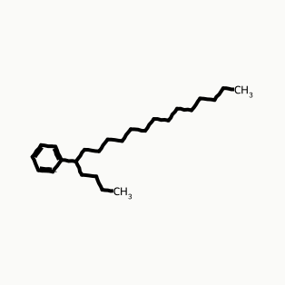 CCCCCCCCCCCCCCC(CCCC)c1[c]cccc1